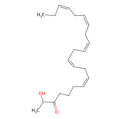 CC/C=C\C/C=C\C/C=C\C/C=C\C/C=C\CCCC(=O)C(C)O